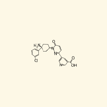 N[C@]1(c2cccc(Cl)c2)CC[C@H](n2nc(-c3cncc(C(=O)O)c3)ccc2=O)CC1